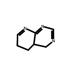 C1=NCC2CCC=NC2=N1